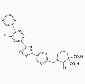 CCC1N(Cc2ccc(-c3noc(-c4ccc(-c5ccccc5)c(F)c4)n3)cc2)CCCC1(C(=O)O)C(=O)O